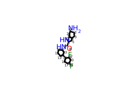 Nc1ccc2cc(C(=O)Nc3cccc(-c4ccc(F)cc4F)c3)[nH]c2c1